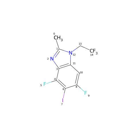 Cc1nc2c(F)c(I)c(F)cc2n1CC(F)(F)F